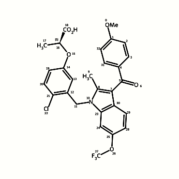 COc1ccc(C(=O)c2c(C)n(Cc3cc(O[C@@H](C)C(=O)O)ccc3Cl)c3cc(OC(F)(F)F)ccc23)cc1